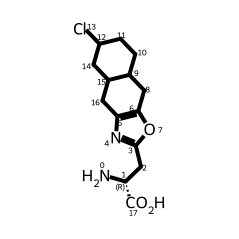 N[C@H](Cc1nc2c(o1)CC1CCC(Cl)CC1C2)C(=O)O